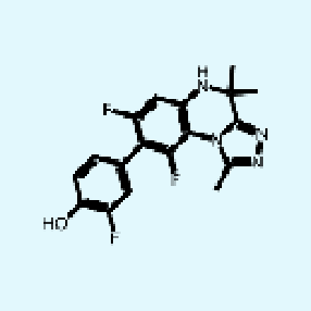 Cc1nnc2n1-c1c(cc(F)c(-c3ccc(O)c(F)c3)c1F)NC2(C)C